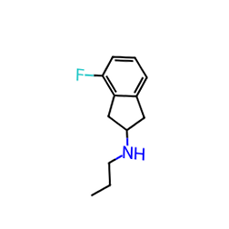 CCCNC1Cc2cccc(F)c2C1